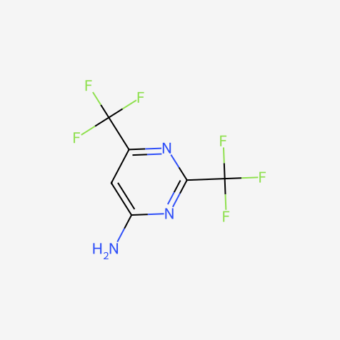 Nc1cc(C(F)(F)F)nc(C(F)(F)F)n1